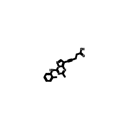 Cc1nc(Nc2ccccc2C)n2ncc(C#CCCC(=O)O)c2n1